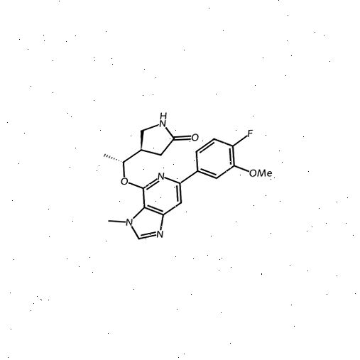 COc1cc(-c2cc3ncn(C)c3c(O[C@H](C)[C@H]3CNC(=O)C3)n2)ccc1F